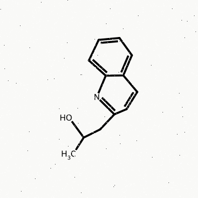 CC(O)Cc1ccc2ccccc2n1